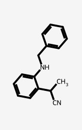 CC(C#N)c1ccccc1NCc1ccccc1